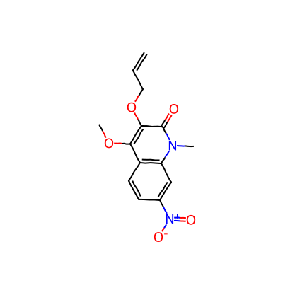 C=CCOc1c(OC)c2ccc([N+](=O)[O-])cc2n(C)c1=O